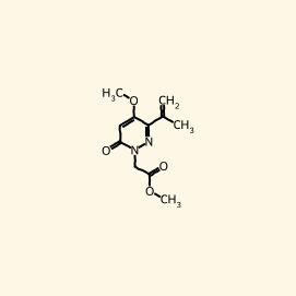 C=C(C)c1nn(CC(=O)OC)c(=O)cc1OC